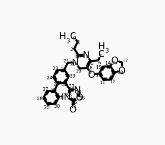 CCCC1=NC(CC)=C(Oc2ccc3c(c2)OCO3)CN1Cc1ccc(-c2ccccc2)c(-c2noc(=O)[nH]2)c1